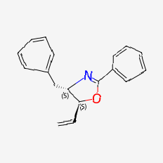 C=C[C@@H]1OC(c2ccccc2)=N[C@H]1Cc1ccccc1